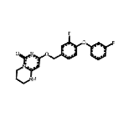 O=c1nc(OCc2ccc(Oc3cccc(F)c3)c(F)c2)cc2n1CCCN2